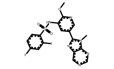 COc1ncc(-c2nc3cncnc3n2C)cc1NS(=O)(=O)c1ccc(F)cc1F